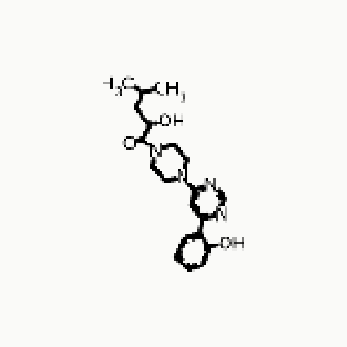 CC(C)C[C@@H](O)C(=O)N1CCN(c2cc(-c3ccccc3O)ncn2)CC1